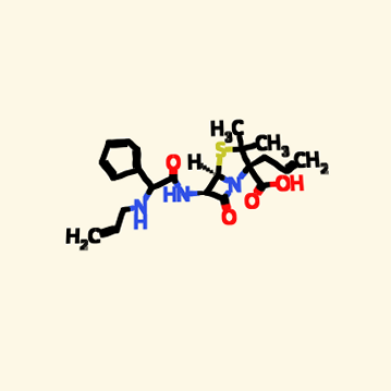 C=CCNC(C(=O)N[C@@H]1C(=O)N2[C@@H]1SC(C)(C)[C@]2(CC=C)C(=O)O)c1ccccc1